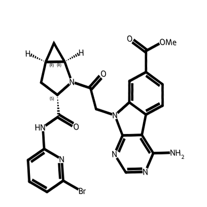 COC(=O)c1ccc2c3c(N)ncnc3n(CC(=O)N3[C@@H]4C[C@@H]4C[C@H]3C(=O)Nc3cccc(Br)n3)c2c1